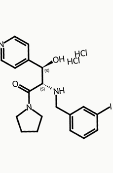 Cl.Cl.O=C([C@@H](NCc1cccc(I)c1)[C@H](O)c1ccncc1)N1CCCC1